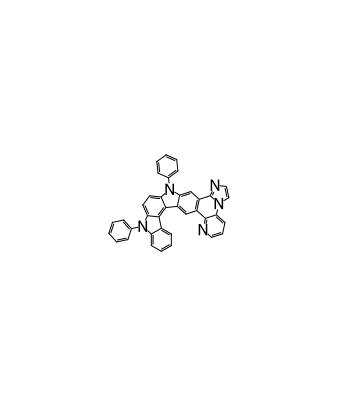 c1ccc(-n2c3ccccc3c3c4c5cc6c(cc5n(-c5ccccc5)c4ccc32)c2nccn2c2cccnc62)cc1